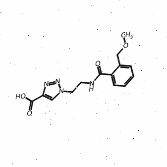 COCc1ccccc1C(=O)NCCn1cc(C(=O)O)nn1